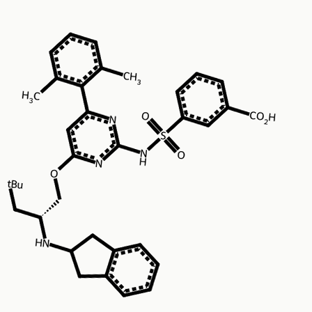 Cc1cccc(C)c1-c1cc(OC[C@@H](CC(C)(C)C)NC2Cc3ccccc3C2)nc(NS(=O)(=O)c2cccc(C(=O)O)c2)n1